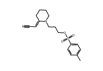 Cc1ccc(S(=O)(=O)OCCCN2CCCC/C2=C\C#N)cc1